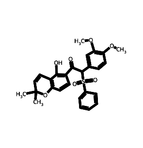 COc1ccc(C(C(=O)c2ccc3c(c2O)C=CC(C)(C)O3)S(=O)(=O)c2ccccc2)cc1OC